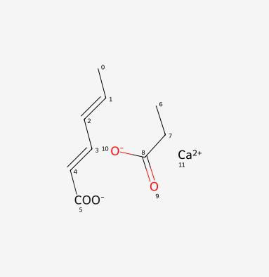 CC=CC=CC(=O)[O-].CCC(=O)[O-].[Ca+2]